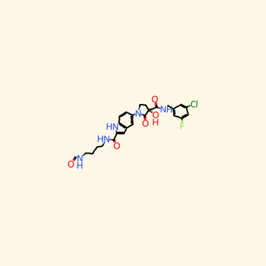 O=CNCCCCNC(=O)c1cc2cc(N3CC[C@](O)(C(=O)NCc4cc(F)cc(Cl)c4)C3=O)ccc2[nH]1